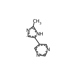 Cc1n[c]c(-c2cncnc2)[nH]1